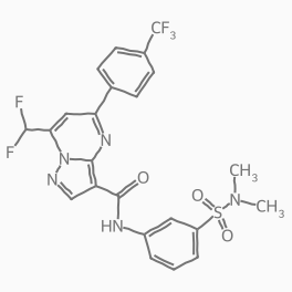 CN(C)S(=O)(=O)c1cccc(NC(=O)c2cnn3c(C(F)F)cc(-c4ccc(C(F)(F)F)cc4)nc23)c1